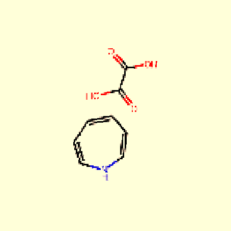 C1=CC=CNC=C1.O=C(O)C(=O)O